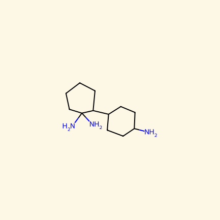 NC1CCC(C2CCCCC2(N)N)CC1